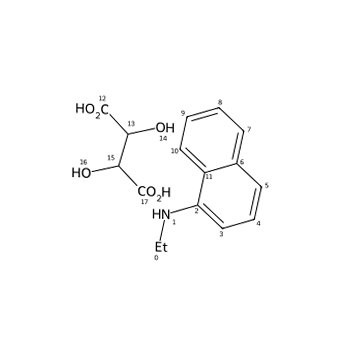 CCNc1cccc2ccccc12.O=C(O)C(O)C(O)C(=O)O